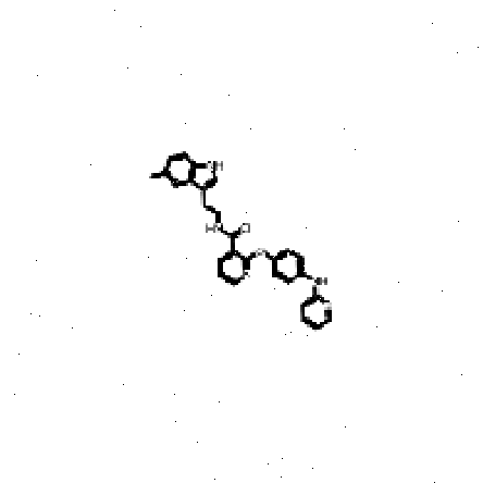 Cc1ccc2[nH]cc(CCNC(=O)c3cccnc3Oc3ccc(Nc4ccccn4)cc3)c2c1